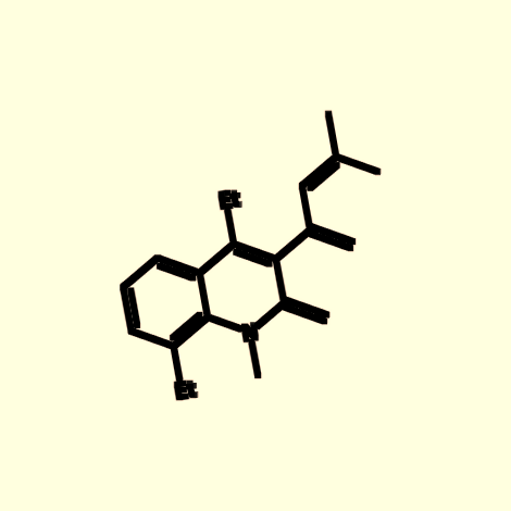 C=C(C=C(C)C)C1=C(CC)c2cccc(CC)c2N(C)C1=C